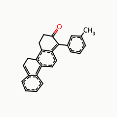 Cc1cccc(C2=c3ccc4c(c3CCC2=O)CC=c2ccccc2=4)c1